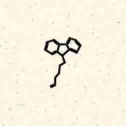 C=CCCCCC1c2ccccc2-c2ccccc21